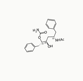 CC(=O)N[C@@H](Cc1ccccc1)C[C@@H](O)[C@H](Cc1ccccc1)OC(N)=O